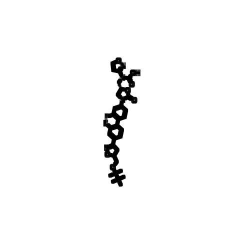 CC(C)(C)[Si](C)(C)OCC1CC(c2ccc(-c3ccc(N4C[C@H](CN(C(=O)O)c5ccon5)OC4=O)cc3F)c(F)c2)=NO1